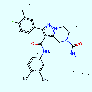 Cc1cc(-c2nn3c(c2C(=O)Nc2ccc(C#N)c(C(F)(F)F)c2)CN(C(N)=O)CC3)ccc1F